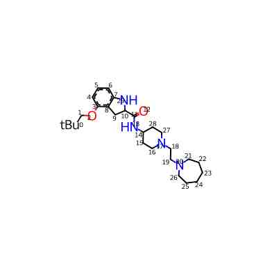 CC(C)(C)COc1cccc2c1CC(C(=O)NC1CCN(CCN3CCCCCC3)CC1)N2